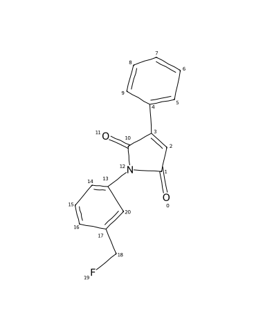 O=C1C=C(c2ccccc2)C(=O)N1c1cccc(CF)c1